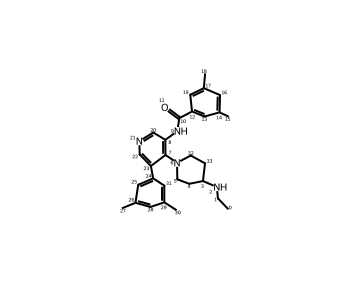 CCNC1CCN(c2c(NC(=O)c3cc(C)cc(C)c3)cncc2-c2cc(C)cc(C)c2)CC1